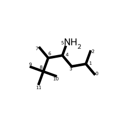 CC(C)CC(N)C(C)C(C)(C)C